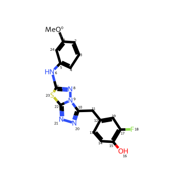 COc1cccc(Nc2nn3c(Cc4ccc(O)c(F)c4)nnc3s2)c1